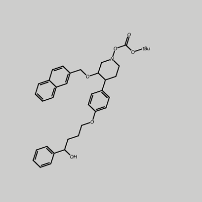 CC(C)(C)OC(=O)ON1CCC(c2ccc(OCCCC(O)c3ccccc3)cc2)C(OCc2ccc3ccccc3c2)C1